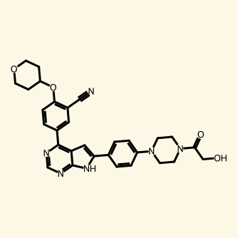 N#Cc1cc(-c2ncnc3[nH]c(-c4ccc(N5CCN(C(=O)CO)CC5)cc4)cc23)ccc1OC1CCOCC1